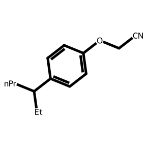 CCCC(CC)c1ccc(OCC#N)cc1